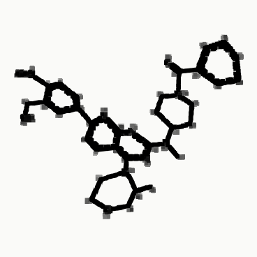 COc1ccc(-c2ccc3c(N4CCOCC4C)nc(N(C)C4CCN(C(=O)c5ccccc5)CC4)nc3n2)cc1CO